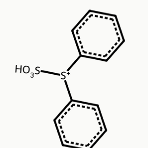 O=S(=O)(O)[S+](c1ccccc1)c1ccccc1